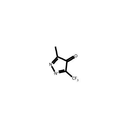 CC1=N[N+]=C(C(F)(F)F)C1=O